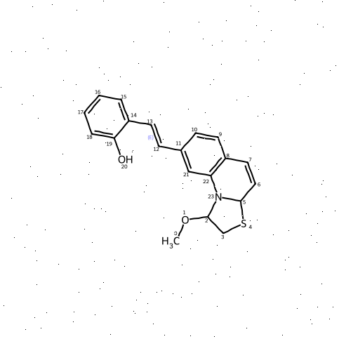 COC1CSC2C=Cc3ccc(/C=C/c4ccccc4O)cc3N12